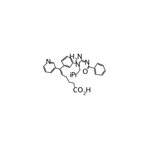 CC(C)CN(C(N)=NC(=O)c1ccccc1)c1cccc(/C(=C\CCCC(=O)O)c2cccnc2)c1